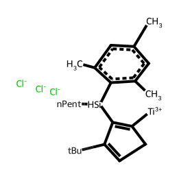 CCCCC[SiH](C1=[C]([Ti+3])CC=C1C(C)(C)C)c1c(C)cc(C)cc1C.[Cl-].[Cl-].[Cl-]